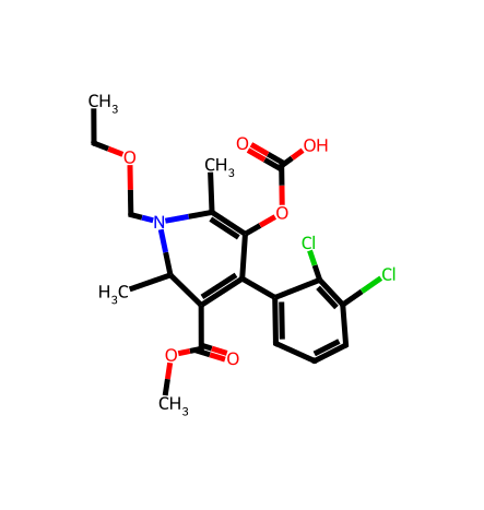 CCOCN1C(C)=C(OC(=O)O)C(c2cccc(Cl)c2Cl)=C(C(=O)OC)C1C